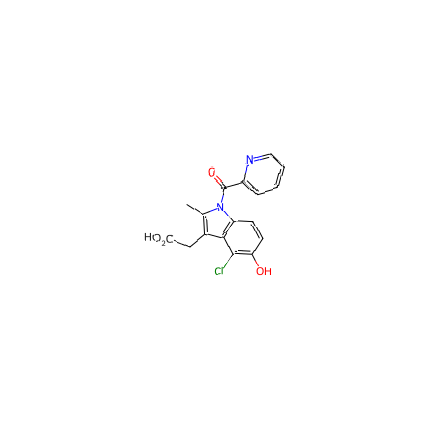 Cc1c(CC(=O)O)c2c(Cl)c(O)ccc2n1C(=O)c1ccccn1